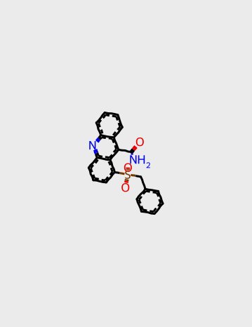 NC(=O)c1c2ccccc2nc2cccc(S(=O)(=O)Cc3ccccc3)c12